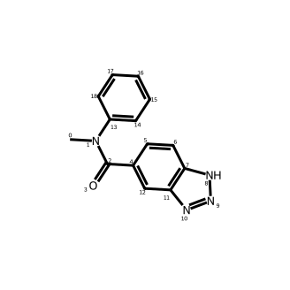 CN(C(=O)c1ccc2[nH]nnc2c1)c1ccccc1